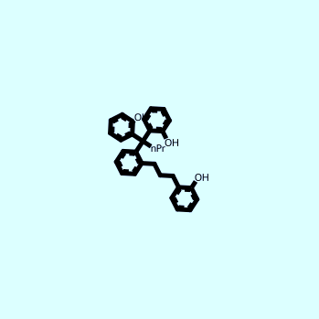 CCCC(c1ccccc1O)(c1ccccc1O)c1ccccc1CCCc1ccccc1O